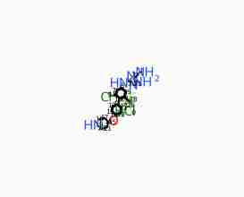 Cl.Nc1nc(Nc2cc(Cl)c(-c3ccc(OC4CCNCC4)cc3)c(C(F)(F)F)c2)n[nH]1